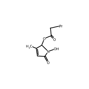 CC1=CC(=O)N(O)C1OC(=O)CC(C)C